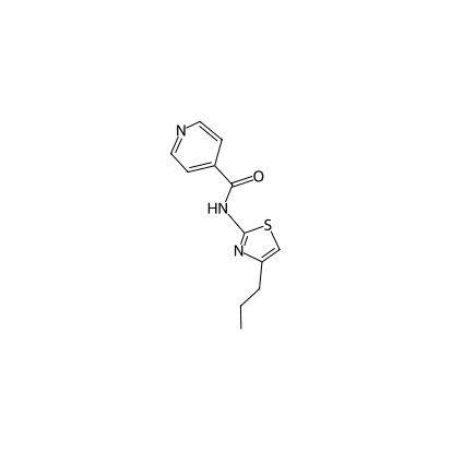 CCCc1csc(NC(=O)c2ccncc2)n1